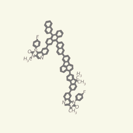 Cn1c(=O)n(-c2ccc(F)cc2)c2c3cc(-c4ccc5c(c4)-c4ccc(-c6ccc7c8c(cccc68)-c6cc(-c8ccc9cc(-c%10c%11ccccc%11c(-c%11ccc%12ccccc%12c%11)c%11ccc(-c%12ccc%13ncc%14c(c%13c%12)n(-c%12ccc(F)cc%12)c(=O)n%14C)cc%10%11)ccc9c8)ccc6-7)cc4C5(C)C)ccc3ncc21